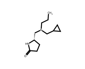 CCCN(CC1CC1)C[C@@H]1CCC(=O)N1